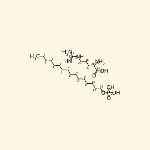 CCCCCCCCCCCCCCCCOP(=O)(O)O.N=C(N)NCCCC(N)C(=O)O